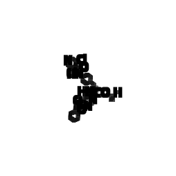 O=C(Nc1ccc(C[C@H](Nc2cc(S(=O)(=O)Cc3ccccc3)ncn2)C(=O)O)cc1)c1c(Cl)cncc1Cl